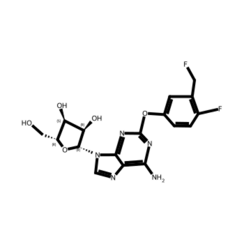 Nc1nc(Oc2ccc(F)c(CF)c2)nc2c1ncn2[C@@H]1O[C@H](CO)[C@@H](O)[C@H]1O